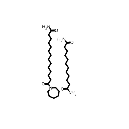 NC(=O)CCCCCCCCCCC(N)=O.NC(=O)CCCCCCCCCCCCC(=O)N1CCCCCC1